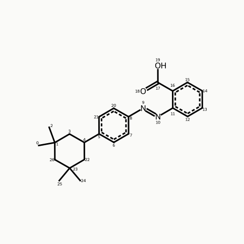 CC1(C)CC(c2ccc(/N=N/c3ccccc3C(=O)O)cc2)CC(C)(C)C1